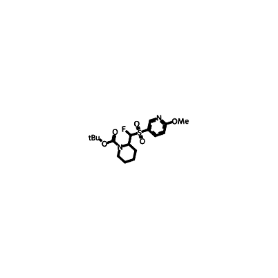 COc1ccc(S(=O)(=O)C(F)C2CCCCN2C(=O)OC(C)(C)C)cn1